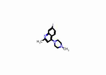 Cc1cc(N2CCN(C)CC2)c2ccc(I)cc2n1